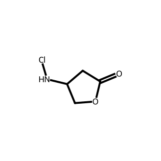 O=C1CC(NCl)CO1